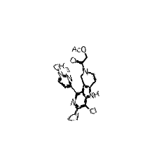 CC(=O)OCC(=O)N1CCc2[nH]c3c(Cl)c(Cl)nc(-c4ccn(C)n4)c3c2C1